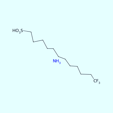 N.O=S(=O)(O)CCCCCCCCCCCC(F)(F)F